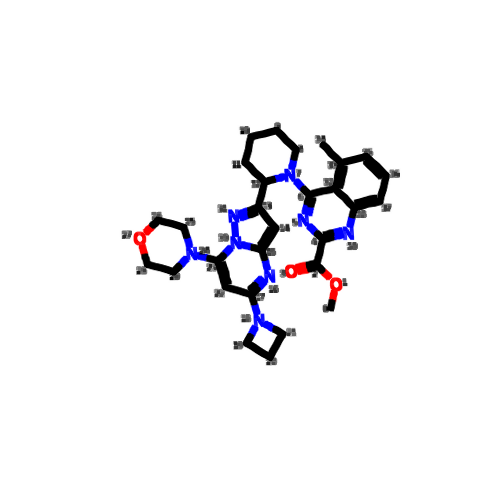 COC(=O)c1nc(N2CCCCC2c2cc3nc(N4CCC4)cc(N4CCOCC4)n3n2)c2c(C)cccc2n1